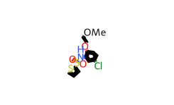 COCCOc1ccc(Cl)cc1NS(=O)(=O)c1cccs1